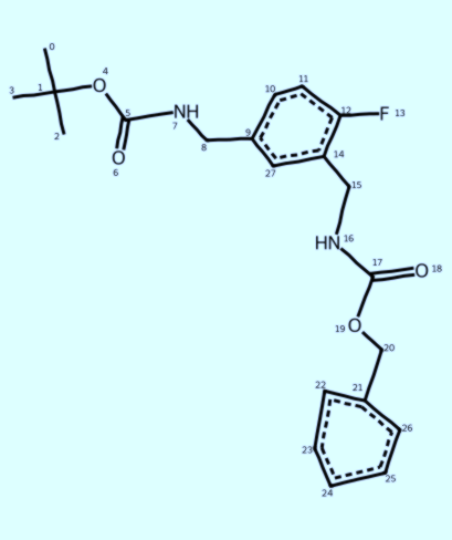 CC(C)(C)OC(=O)NCc1ccc(F)c(CNC(=O)OCc2ccccc2)c1